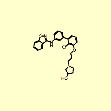 OC1CCN(CCCOc2cccc(-c3cccc(Nc4nsc5ccccc45)c3)c2Cl)C1